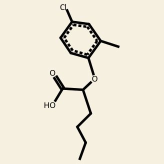 CCCCC(Oc1ccc(Cl)cc1C)C(=O)O